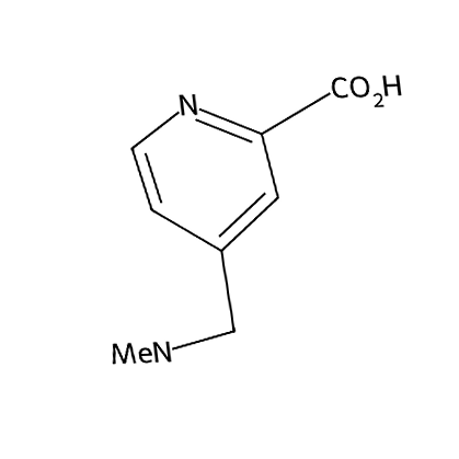 CNCc1ccnc(C(=O)O)c1